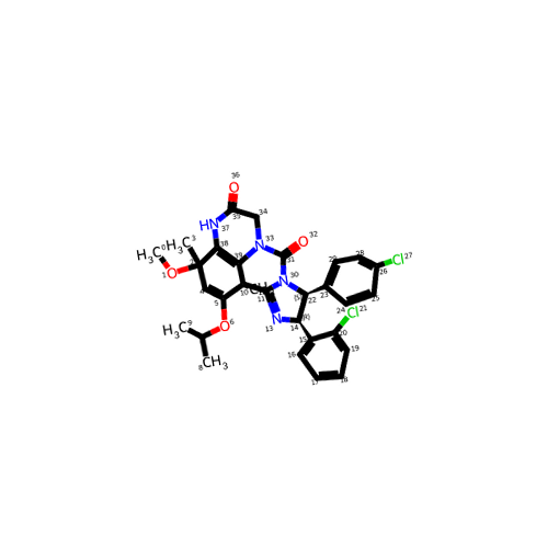 COC1(C)C=C(OC(C)C)C2(C)C3=N[C@H](c4ccccc4Cl)[C@H](c4ccc(Cl)cc4)N3C(=O)N3CC(=O)NC1=C32